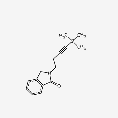 C[Si](C)(C)C#CCCN1Cc2ccccc2C1=O